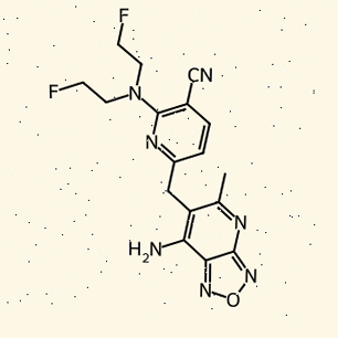 Cc1nc2nonc2c(N)c1Cc1ccc(C#N)c(N(CCF)CCF)n1